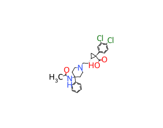 CC(=O)NC1(c2ccccc2)CCN(CC[C@@H]2C[C@@]2(C(=O)O)c2ccc(Cl)c(Cl)c2)CC1